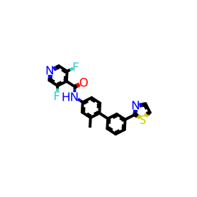 Cc1cc(NC(=O)c2c(F)cncc2F)ccc1-c1cccc(-c2nccs2)c1